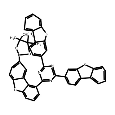 CC1(C)OB(c2ccc3oc4cccc(-c5nc(-c6ccc7c(c6)sc6ccccc67)nc(-c6ccc7c(c6)sc6ccccc67)n5)c4c3c2)OC1(C)C